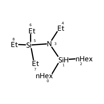 CCCCCC[SiH](CCCCCC)N(CC)[Si](CC)(CC)CC